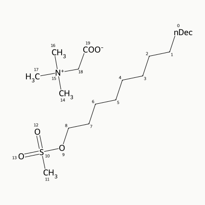 CCCCCCCCCCCCCCCCCCOS(C)(=O)=O.C[N+](C)(C)CC(=O)[O-]